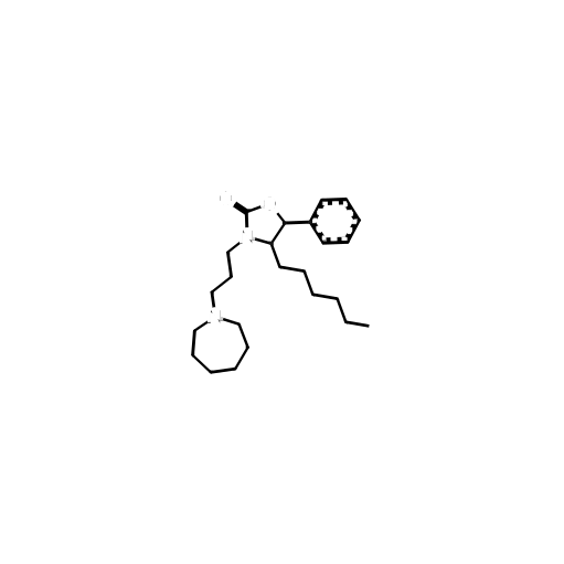 CCCCCCC1C(c2ccccc2)OC(=O)N1CCCN1CCCCCC1